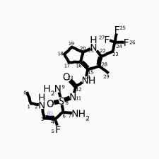 CCN/C=C(/F)C(N)S(N)(=O)=NC(=O)NC1=C2CCCC2NC(CC(F)(F)F)=C1C